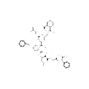 CCCC(NC(=O)[C@@H]1C[C@@H](OCc2ccccc2)CN1C(=O)[C@H](CCCNC(=O)C1CCCCC1C(=O)O)NC(=O)OCC(C)C)C(=O)C(=O)NCC(=O)N[C@H](C(N)=O)c1ccccc1